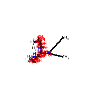 CCCCCCCCCCCCC/C=C/[C@@H](O)[C@H](CO[C@@H]1OC(CO)[C@@H](O[C@@H]2OC(CO[C@@H]3OC(CO)[C@@H](O[C@@H]4OC(CO)[C@H](O)[C@H](O[C@]5(C(=O)O)CC(O)[C@@H](NC(C)=O)C([C@H](O)[C@H](O)CO)O5)C4O)[C@H](O)C3NC(C)=O)[C@H](O)[C@H](O[C@H]3OC(CO)[C@H](O)[C@H](O[C@@H]4OC(CO)[C@H](O)[C@H](O[C@H]5OC(CO)[C@H](O)[C@H](O)C5NC(C)=O)C4NC(C)=O)C3O)C2O)[C@H](O)C1O)NC(=O)CCCCCCCCCCCCCCCCCCCCC